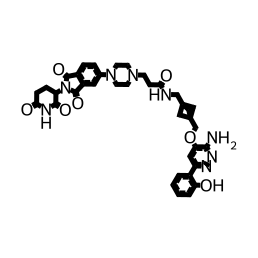 Nc1nnc(-c2ccccc2O)cc1OCC12CC(CNC(=O)CCN3CCN(c4ccc5c(c4)C(=O)N(C4CCC(=O)NC4=O)C5=O)CC3)(C1)C2